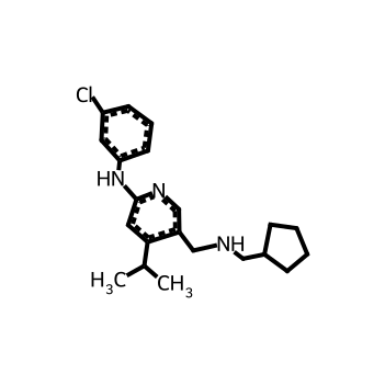 CC(C)c1cc(Nc2cccc(Cl)c2)ncc1CNCC1CCCC1